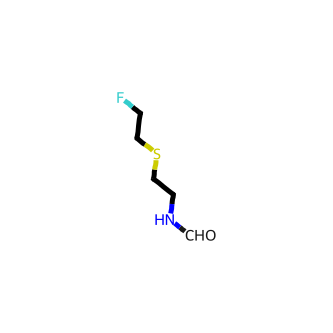 O=CNCCSCCF